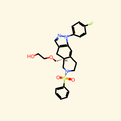 O=S(=O)(c1ccccc1)N1CCC2=Cc3c(cnn3-c3ccc(F)cc3)C[C@]2(COCCO)C1